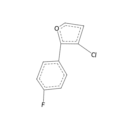 Fc1ccc(-c2occc2Cl)cc1